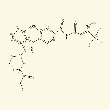 CCC(=O)N1CCCC(c2nc(-c3ccc(C(=O)NC(=N)/C=C(\NC)C(F)(F)F)cc3C)c3c(N)nccn23)C1